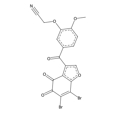 COc1ccc(C(=O)c2coc3c2C(=O)C(=O)C(Br)=C3Br)cc1OCC#N